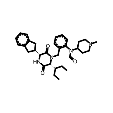 CCC(CC)[C@@H]1C(=O)N[C@H](C2Cc3ccccc3C2)C(=O)N1Cc1ccccc1N(C=O)C1CCN(C)CC1